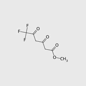 COC(=O)CC(=O)CC(=O)C(F)(F)F